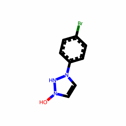 ON1C=CN(c2ccc(Br)cc2)N1